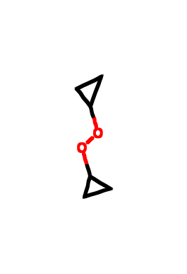 C1CC1OOC1CC1